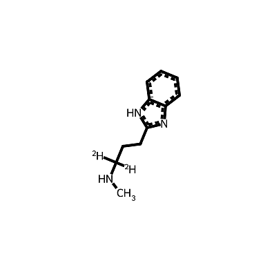 [2H]C([2H])(CCc1nc2ccccc2[nH]1)NC